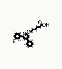 O=C(O)CCCCCOc1cc(-c2ccccc2)cc(-c2cccc(F)c2)n1